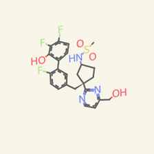 CS(=O)(=O)N[C@H]1CC[C@](Cc2ccc(F)c(-c3ccc(F)c(F)c3O)c2)(c2nccc(CO)n2)C1